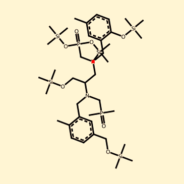 Cc1ccc(O[Si](C)(C)C)c(CN(CC(CO[Si](C)(C)C)N(Cc2cc(CO[Si](C)(C)C)ccc2C)CP(C)(C)=O)CP(=O)(O[Si](C)(C)C)O[Si](C)(C)C)c1